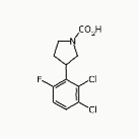 O=C(O)N1CCC(c2c(F)ccc(Cl)c2Cl)C1